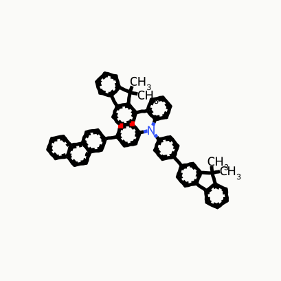 CC1(C)c2ccccc2-c2ccc(-c3ccc(N(c4ccc(-c5ccc6c(ccc7ccccc76)c5)cc4)c4ccccc4-c4cccc5c4C(C)(C)c4ccccc4-5)cc3)cc21